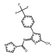 Cc1cn(-c2ccc(C(F)(F)F)cc2)c(=NC(=O)n2ccnc2)s1